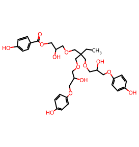 CCC(COCC(O)COC(=O)c1ccc(O)cc1)(COCC(O)COc1ccc(O)cc1)COCC(O)COc1ccc(O)cc1